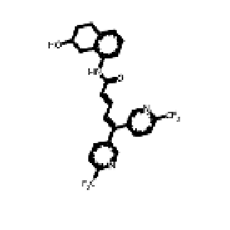 O=C(C=CC=C(c1ccc(C(F)(F)F)nc1)c1ccc(C(F)(F)F)nc1)Nc1cccc2c1CC(O)CC2